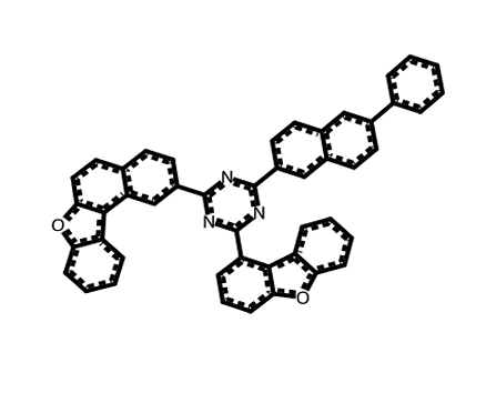 c1ccc(-c2ccc3cc(-c4nc(-c5ccc6ccc7oc8ccccc8c7c6c5)nc(-c5cccc6oc7ccccc7c56)n4)ccc3c2)cc1